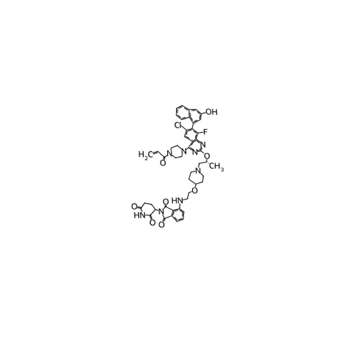 C=CC(=O)N1CCN(c2nc(O[C@H](C)CN3CCC(OCCNc4cccc5c4C(=O)N(C4CCC(=O)NC4=O)C5=O)CC3)nc3c(F)c(-c4cc(O)cc5ccccc45)c(Cl)cc23)CC1